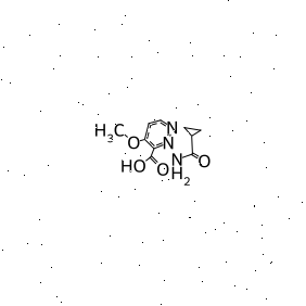 COc1ccnnc1C(=O)O.NC(=O)C1CC1